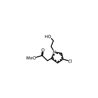 COC(=O)Cc1cc(Cl)cn1CCO